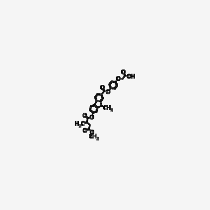 C=C(CC(=O)OC)C(=O)Oc1ccc2c(c1)C(C)c1cc(C(=O)Oc3ccc(OCC(=O)O)cc3)ccc1-2